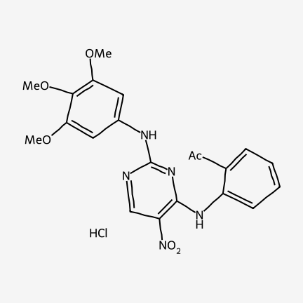 COc1cc(Nc2ncc([N+](=O)[O-])c(Nc3ccccc3C(C)=O)n2)cc(OC)c1OC.Cl